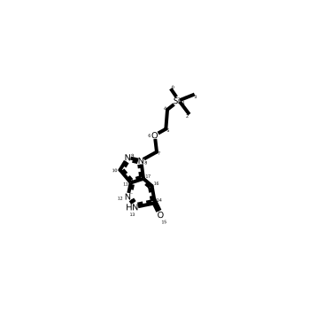 C[Si](C)(C)CCOCn1ncc2n[nH]c(=O)cc21